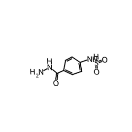 NNC(=O)c1ccc(N[SH](=O)=O)cc1